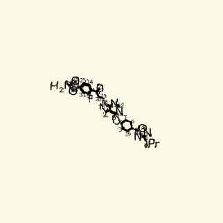 CC(C)c1noc(C2CCC(Oc3ncnc4c3cnn4CCC(=O)c3ccc(S(N)(=O)=O)cc3F)CC2)n1